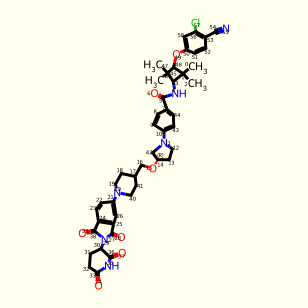 CC1(C)C(NC(=O)c2ccc(N3CC[C@@H](OCC4CCN(c5ccc6c(c5)C(=O)N(C5CCC(=O)NC5=O)C6=O)CC4)C3)cc2)C(C)(C)C1Oc1ccc(C#N)c(Cl)c1